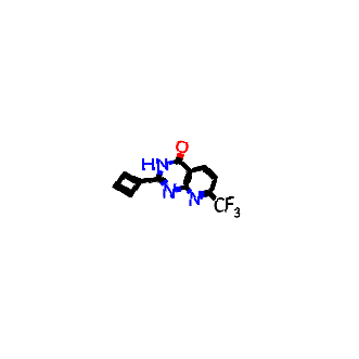 O=c1[nH]c(C2=CC=C2)nc2nc(C(F)(F)F)ccc12